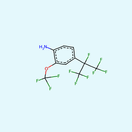 Nc1ccc(C(F)(C(F)(F)F)C(F)(F)F)cc1OC(F)(F)F